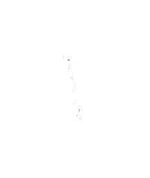 COCCOCCOC[CH]CCl